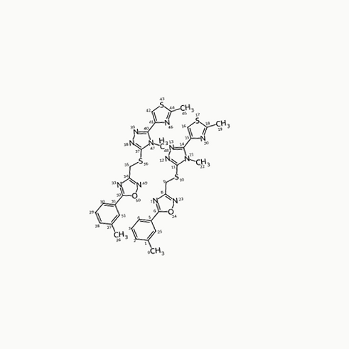 Cc1cccc(-c2nc(CSc3nnc(-c4csc(C)n4)n3C)no2)c1.Cc1cccc(-c2nc(CSc3nnc(-c4csc(C)n4)n3C)no2)c1